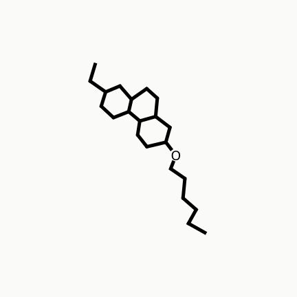 CCCCCCOC1CCC2C(CCC3CC(CC)CCC32)C1